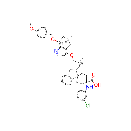 COc1ccc(CO[C@H]2C[C@H](C)Cc3c(OC[C@H](C)CC4Cc5ccccc5C45CCC(Nc4cccc(Cl)c4)(C(=O)O)CC5)ccnc32)cc1